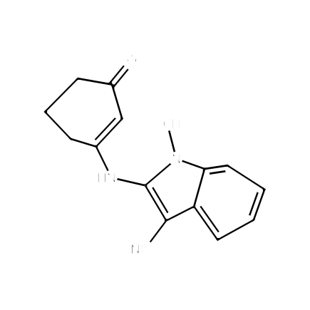 Cn1c(NC2=CC(=O)CCC2)c(C#N)c2ccccc21